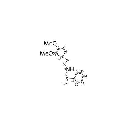 COc1ccc(CCNCC(C)c2ccccc2)cc1OC